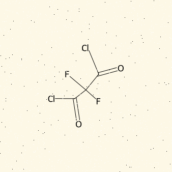 O=C(Cl)C(F)(F)C(=O)Cl